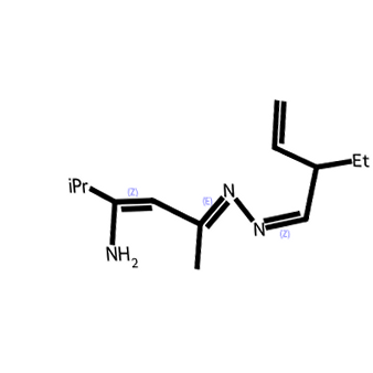 C=CC(\C=N/N=C(C)/C=C(\N)C(C)C)CC